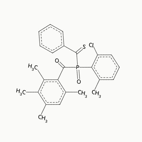 Cc1cc(C)c(C(=O)P(=O)(C(=S)c2ccccc2)c2c(C)cccc2Cl)c(C)c1C